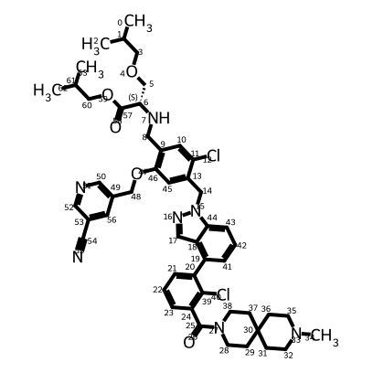 CC(C)COC[C@H](NCc1cc(Cl)c(Cn2ncc3c(-c4cccc(C(=O)N5CCC6(CCN(C)CC6)CC5)c4Cl)cccc32)cc1OCc1cncc(C#N)c1)C(=O)OCC(C)C